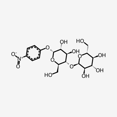 O=[N+]([O-])c1ccc(O[C@H]2O[C@H](CO)[C@@H](O[C@H]3O[C@H](CO)[C@@H](O)[C@H](O)[C@H]3O)[C@H](O)[C@H]2O)cc1